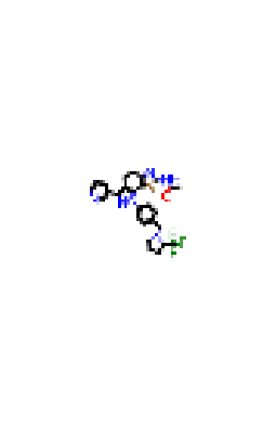 CC(=O)Nc1nc2c(s1)-c1c(c(-c3cccnc3)nn1-c1ccc(CN3CCCC3C(F)(F)F)cc1)CC2